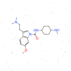 CNC1CCC(NC(=O)n2cc(CCN(C)C)c3ccc(OC)cc32)CC1